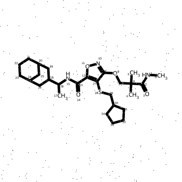 CNC(=O)C(C)(C)COc1noc(C(=O)NC(C)C2CC3CCCC(C3)C2)c1SCC1CCCC1